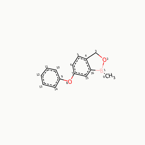 CB1OCc2ccc(Oc3ccccc3)cc21